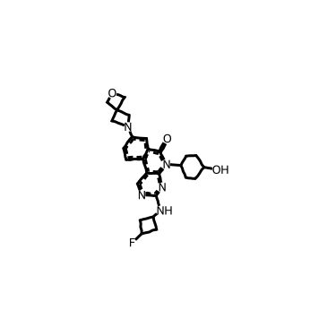 O=c1c2cc(N3CC4(COC4)C3)ccc2c2cnc(NC3CC(F)C3)nc2n1C1CCC(O)CC1